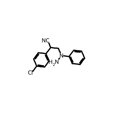 N#CC(CN(N)c1ccccc1)c1ccc(Cl)cc1